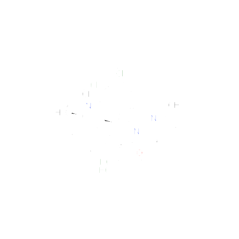 Cc1cccc(N2C[C@@](CCN(C)[C@H](C)c3ccccc3)(c3ccc(Cl)c(Cl)c3)CCC2=O)n1.Cl.Cl